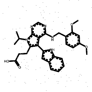 COc1ccc(CNc2ncnc3c2c(-c2cc4ccccc4[nH]2)c(CCC(=O)O)n3C(C)C)c(OC)c1